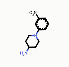 NC1CCN(c2cccc([N+](=O)[O-])c2)CC1